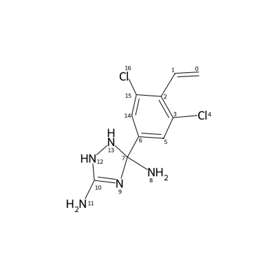 C=Cc1c(Cl)cc(C2(N)N=C(N)NN2)cc1Cl